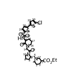 CCOC(=O)C1CCCN(C[C@@H]2CCCN2C(=O)CN2CCC[C@H](NS(=O)(=O)c3ccc(-c4ccc(Cl)s4)s3)C2=O)C1